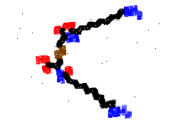 NCCCCCCCCCCC(=O)NC(CSSCC(NC(=O)CCCCCCCCCCN)C(=O)O)C(=O)O